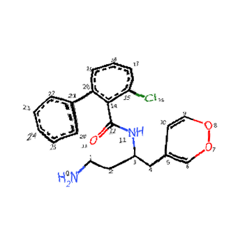 NCCC(CC1=COOC=C1)NC(=O)c1c(Cl)cccc1-c1ccccc1